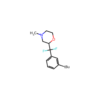 CN1CCOC(C(F)(F)c2cccc(C(C)(C)C)c2)C1